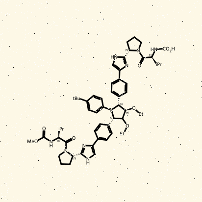 CCOC1[C@H](OCC)[C@@H](c2ccc(-c3c[nH]c([C@@H]4CCCN4C(=O)[C@@H](NC(=O)O)C(C)C)n3)cc2)N(c2ccc(C(C)(C)C)cc2)[C@H]1c1ccc(-c2c[nH]c([C@@H]3CCCN3C(=O)[C@@H](NC(=O)OC)C(C)C)n2)cc1